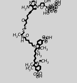 CC[N+]1=C(/C=C/C=C/C=C2/N(CCCCCC(=O)NC(C)CSSCCC(=O)CCC#Cc3cn([C@H]4CC(O)[C@@H](COP(=O)(O)OP(=O)(O)OP(=O)(O)O)O4)c4ncnc(N)c34)c3ccc(S(=O)(=O)O)cc3C2(C)C)C(C)(C)c2cc(S(=O)(=O)O)ccc21